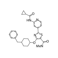 CNC(=O)c1sc(-c2ccnc(NC(=O)C3CC3)c2)nc1OC1CCC(Cc2ccccc2)CC1